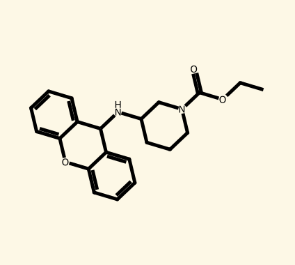 CCOC(=O)N1CCCC(NC2c3ccccc3Oc3ccccc32)C1